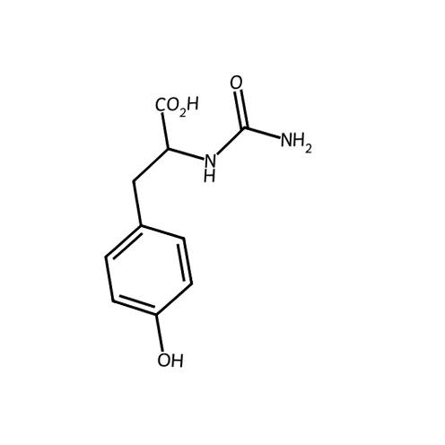 NC(=O)NC(Cc1ccc(O)cc1)C(=O)O